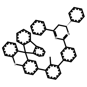 Cc1c(-c2cccc(C3=N[C@@H](c4ccccc4)CC(c4ccccc4)=N3)c2)cccc1-c1ccc2c(c1)C1(c3ccccc3S2)c2ccccc2-c2ccccc21